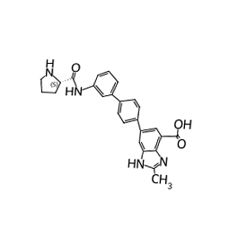 Cc1nc2c(C(=O)O)cc(-c3ccc(-c4cccc(NC(=O)[C@@H]5CCCN5)c4)cc3)cc2[nH]1